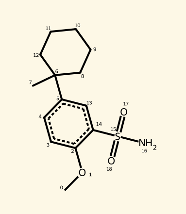 COc1ccc(C2(C)CCCCC2)cc1S(N)(=O)=O